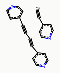 C#Cc1ccncc1.C(C#Cc1ccncc1)#Cc1ccncc1